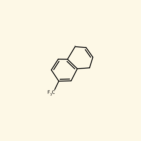 FC(F)(F)c1ccc2c(c1)CC=C[CH]2